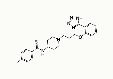 Cc1ccc(C(=S)NC2CCN(CCCOc3ccccc3-c3nnn[nH]3)CC2)cc1